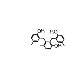 Cc1ccc(O)c(Cc2c(C)ccc(O)c2Cc2cc(C)ccc2O)c1